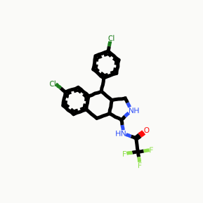 O=C(NC1NCC2C(c3ccc(Cl)cc3)c3cc(Cl)ccc3CC12)C(F)(F)F